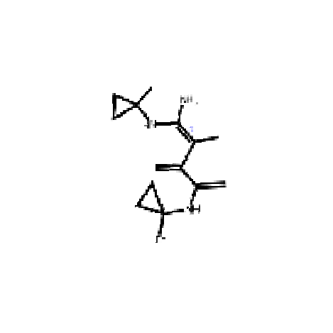 C=C(NC1(CC)CC1)C(=C)/C(C)=C(/N)NC1(C)CC1